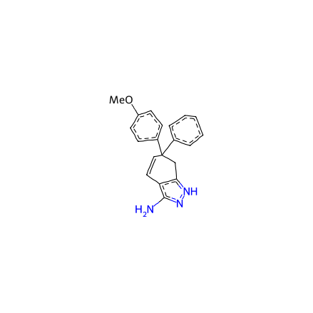 COc1ccc(C2(c3ccccc3)C=Cc3c(N)n[nH]c3C2)cc1